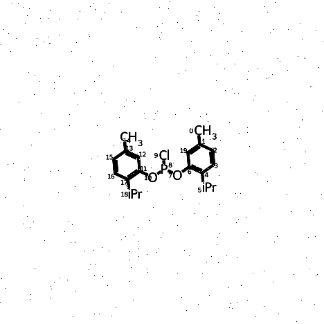 Cc1ccc(C(C)C)c(OP(Cl)Oc2cc(C)ccc2C(C)C)c1